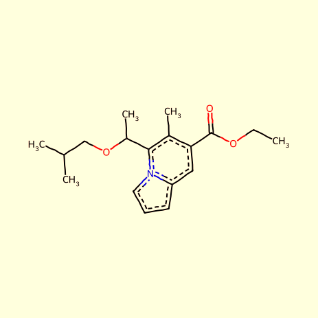 CCOC(=O)c1cc2cccn2c(C(C)OCC(C)C)c1C